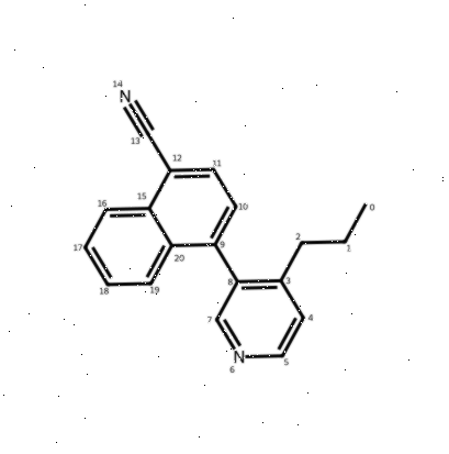 CCCc1ccncc1-c1ccc(C#N)c2ccccc12